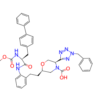 COC(=O)N[C@@H](Cc1ccc(-c2ccccc2)cc1)C(=O)Nc1ccccc1CC[C@@H]1CN(C(=O)O)[C@H](c2nnn(Cc3ccccc3)n2)CO1